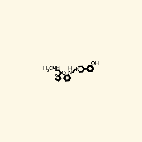 CNCCC(Oc1ccccc1NCCN1CCC(c2cccc(O)c2)CC1)c1cccs1